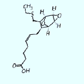 CCSC[C@@H]1[C@H](C/C=C\CCCC(=O)O)[C@H]2O[C@@H]1[C@H]1O[C@H]12